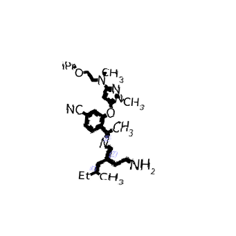 CC/C(C)=C/C(=C\N=C(/C)c1ccc(C#N)cc1Oc1cc(N(C)CCOC(C)C)nn1C)CCN